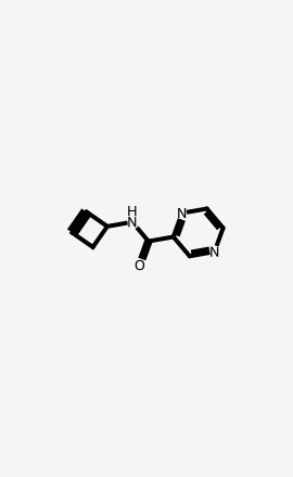 O=C(NC1C#CC1)c1cnccn1